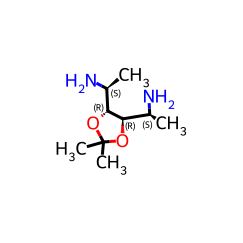 C[C@H](N)[C@H]1OC(C)(C)O[C@@H]1[C@H](C)N